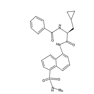 CC(C)(C)NS(=O)(=O)c1cccc2c(NC(=O)[C@H](CC3CC3)NC(=O)c3ccccc3)cccc12